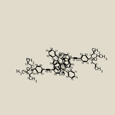 C=CC[Si](CC=C)(OCC)c1ccc(C#Cc2cccc3c(-c4c(P(=O)(c5ccccc5)c5ccccc5)ccc5c(C#Cc6ccc([Si](CC=C)(CC=C)OCC)cc6)cccc45)c(P(=O)(c4ccccc4)c4ccccc4)ccc23)cc1